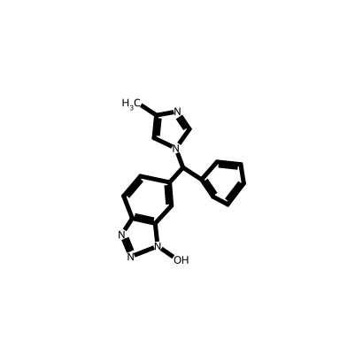 Cc1cn(C(c2ccccc2)c2ccc3nnn(O)c3c2)cn1